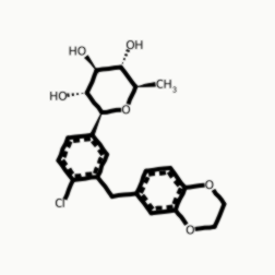 C[C@H]1O[C@@H](c2ccc(Cl)c(Cc3ccc4c(c3)OCCO4)c2)[C@H](O)[C@@H](O)[C@@H]1O